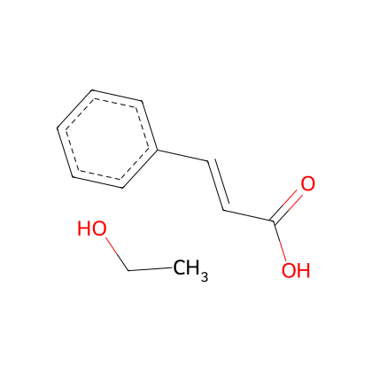 CCO.O=C(O)C=Cc1ccccc1